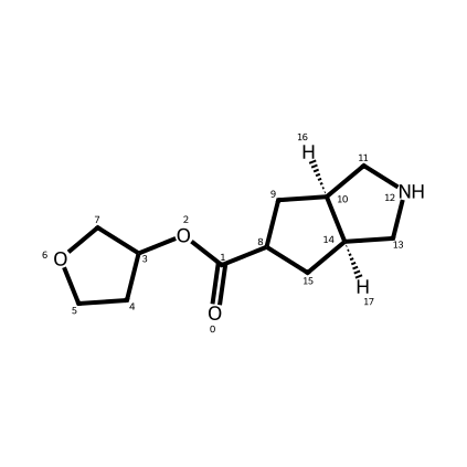 O=C(OC1CCOC1)C1C[C@H]2CNC[C@H]2C1